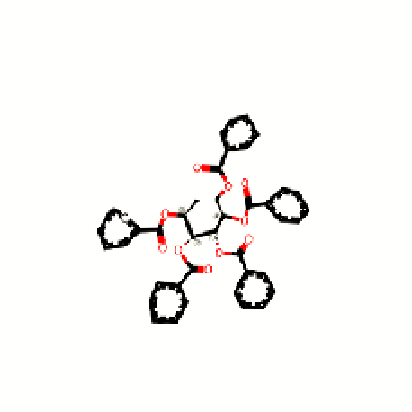 C[C@H](OC(=O)c1ccccc1)[C@@H](OC(=O)c1ccccc1)[C@@H](OC(=O)c1ccccc1)[C@@H](COC(=O)c1ccccc1)OC(=O)c1ccccc1